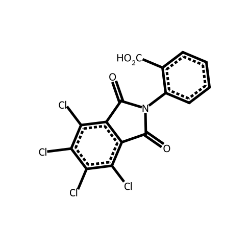 O=C(O)c1ccccc1N1C(=O)c2c(Cl)c(Cl)c(Cl)c(Cl)c2C1=O